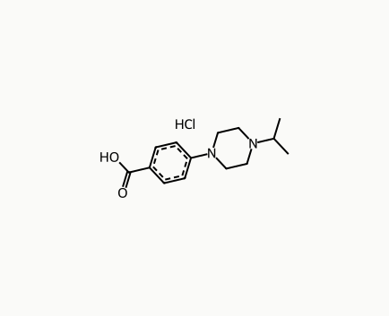 CC(C)N1CCN(c2ccc(C(=O)O)cc2)CC1.Cl